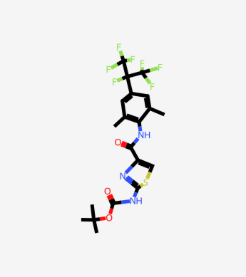 Cc1cc(C(F)(C(F)(F)F)C(F)(F)F)cc(C)c1NC(=O)c1csc(NC(=O)OC(C)(C)C)n1